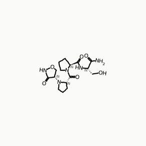 NC(=O)[C@H](CO)NC(=O)[C@@H]1CCCN1C(=O)[C@@H]1CCCN1[C@H]1CONC1=O